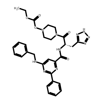 CCOC(=O)ON1CCN(C(=O)[C@H](Cc2nn[nH]n2)NC(=O)c2cc(NCc3ccccc3)nc(-c3ccccc3)n2)CC1